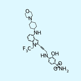 NS(=O)(=O)c1ccc(NCC#Cc2cc3c(NC4CCC(N5CCOCC5)CC4)cccc3n2CC(F)(F)F)c(O)c1